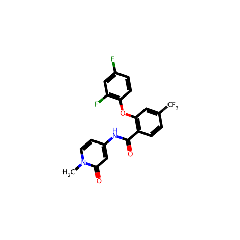 [CH2]n1ccc(NC(=O)c2ccc(C(F)(F)F)cc2Oc2ccc(F)cc2F)cc1=O